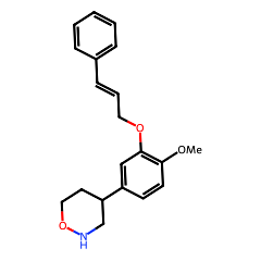 COc1ccc(C2CCONC2)cc1OC/C=C/c1ccccc1